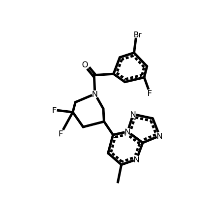 Cc1cc(C2CN(C(=O)c3cc(F)cc(Br)c3)CC(F)(F)C2)n2ncnc2n1